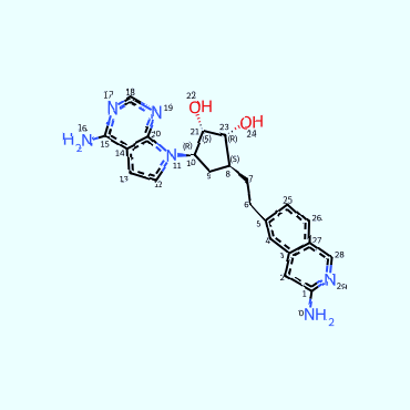 Nc1cc2cc(CC[C@H]3C[C@@H](n4ccc5c(N)ncnc54)[C@H](O)[C@@H]3O)ccc2cn1